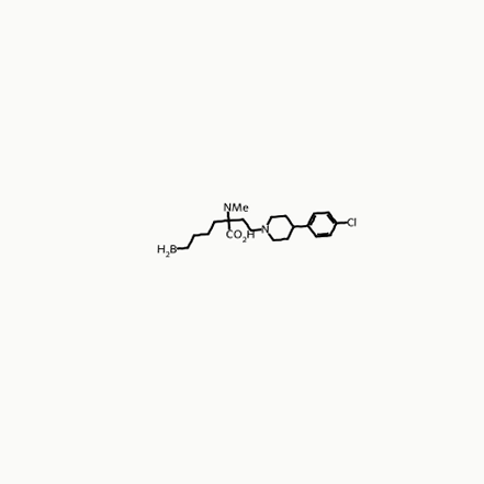 BCCCCC(CCN1CCC(c2ccc(Cl)cc2)CC1)(NC)C(=O)O